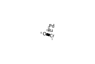 [O]=[Cr].[Pd].[Ru]